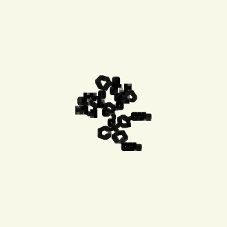 COc1ccc(C(OC[C@H]2O[C@@H](n3c(=O)[nH]c4c(=O)[nH]cnc43)C[C@@H]2O[P@]2O[C@H](CS(=O)(=O)c3ccccc3)[C@@H]3CCCN32)(c2ccccc2)c2ccc(OC)cc2)cc1